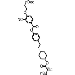 CCCCCCCCCCCCOc1ccc(C(=O)Oc2ccc(CC[C@H]3CC[C@H](OC(=O)[C@@H](F)CCCC)CC3)cc2)cc1C#N